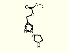 NC(=O)OCc1cnn([C@@H]2CCNC2)c1